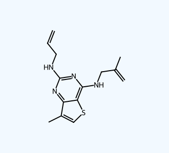 C=CCNc1nc(NCC(=C)C)c2scc(C)c2n1